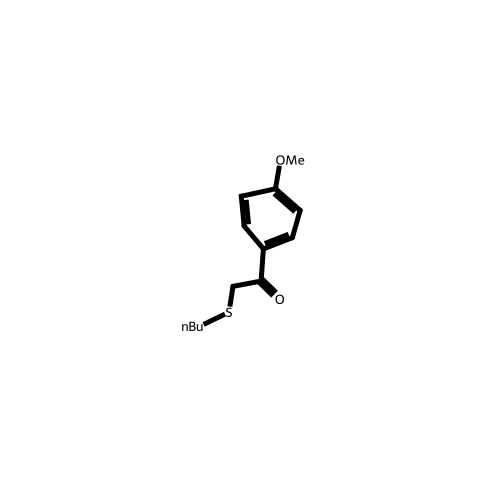 CCCCSCC(=O)c1ccc(OC)cc1